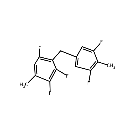 Cc1cc(F)c(Cc2cc(F)c(C)c(F)c2)c(F)c1F